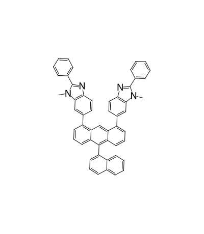 Cn1c(-c2ccccc2)nc2ccc(-c3cccc4c(-c5cccc6ccccc56)c5cccc(-c6ccc7nc(-c8ccccc8)n(C)c7c6)c5cc34)cc21